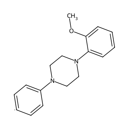 COc1ccccc1N1CCN(c2cc[c]cc2)CC1